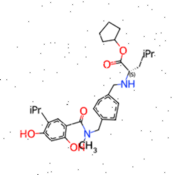 CC(C)C[C@H](NCc1ccc(CN(C)C(=O)c2cc(C(C)C)c(O)cc2O)cc1)C(=O)OC1CCCC1